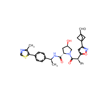 Cc1ncsc1-c1ccc([C@H](C)NC(=O)[C@@H]2C[C@@H](O)CN2C(=O)[C@@H](c2cc(C34CC(C=O)(C3)C4)no2)C(C)C)cc1